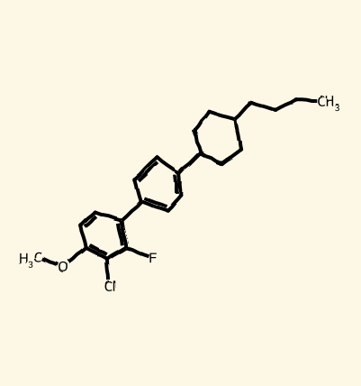 CCCCC1CCC(c2ccc(-c3ccc(OC)c(Cl)c3F)cc2)CC1